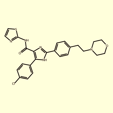 O=C(Nc1nccs1)c1nc(-c2ccc(CCN3CCOCC3)cc2)[nH]c1-c1ccc(Cl)cc1